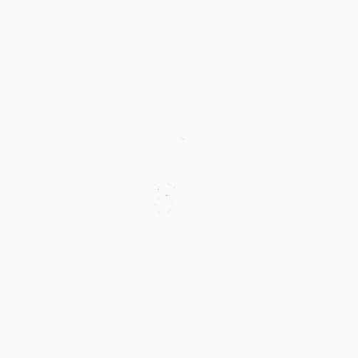 CC(C)(C)CC(=O)CCCCc1nc2ccc(OC(F)F)cc2n1C1CCC1